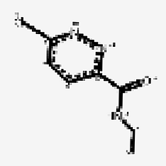 CCNC(=O)c1ccc(Cl)nn1